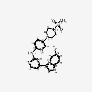 CS(=O)(=O)N1CCN(c2ccc(Nc3nccc(-c4cnc5ccc(Br)cn45)n3)nc2)CC1